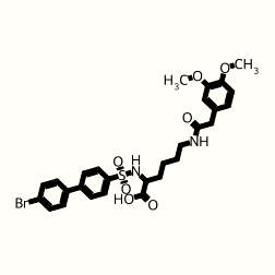 COc1ccc(CC(=O)NCCCCC(NS(=O)(=O)c2ccc(-c3ccc(Br)cc3)cc2)C(=O)O)cc1OC